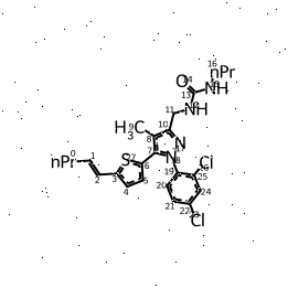 CCCC=Cc1ccc(-c2c(C)c(CNC(=O)NCCC)nn2-c2ccc(Cl)cc2Cl)s1